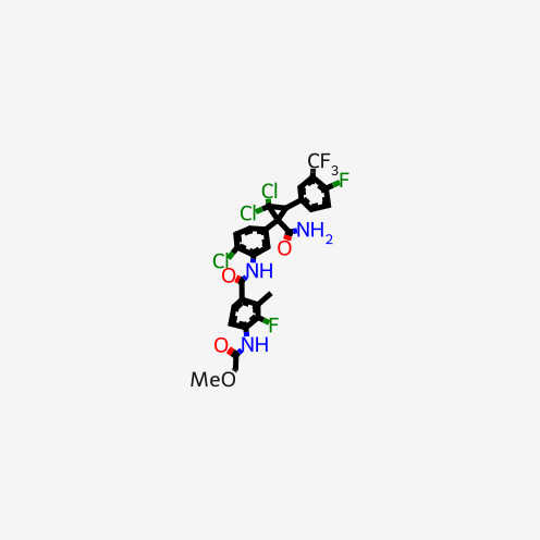 COCC(=O)Nc1ccc(C(=O)Nc2cc(C3(C(N)=O)C(c4ccc(F)c(C(F)(F)F)c4)C3(Cl)Cl)ccc2Cl)c(C)c1F